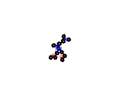 c1ccc(-n2c3ccccc3c3cc(-c4ccc5c(c4)c4nc(-c6ccc(-c7cccc8c7oc7ccccc78)cc6)c(-c6ccc(-c7cccc8c7oc7ccccc78)cc6)nc4n5-c4ccccc4)ccc32)cc1